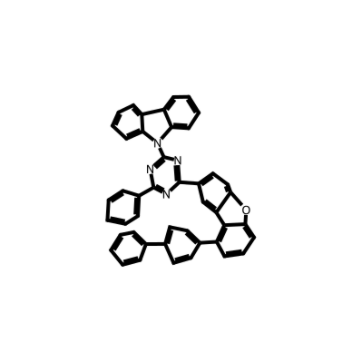 c1ccc(-c2ccc(-c3cccc4oc5ccc(-c6nc(-c7ccccc7)nc(-n7c8ccccc8c8ccccc87)n6)cc5c34)cc2)cc1